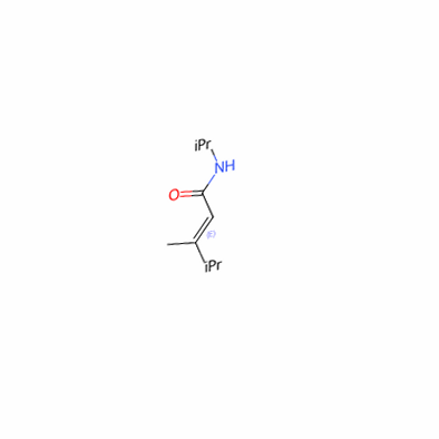 C/C(=C\C(=O)NC(C)C)C(C)C